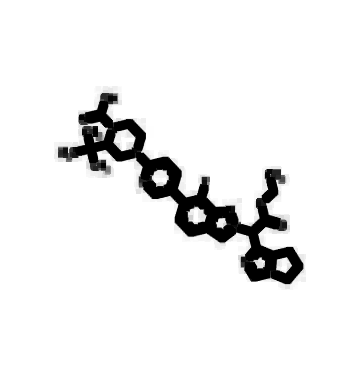 CCOC(=O)C(c1ncn2c1CCC2)n1cc2ccc(-c3ccc(N4CCN(C(=O)O)C(C(C)(C)C)C4)nc3)c(F)c2n1